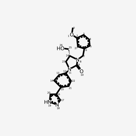 COc1cccc(CN2C(=O)N(c3ccc(-c4cn[nH]c4)cc3)C[C@@H]2CO)c1